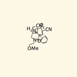 COCCN1CC[C@H]2C(C)(C)C(=O)C(C#N)=C[C@@]2(c2ccccc2)C1=O